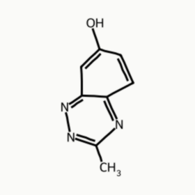 Cc1nnc2cc(O)ccc2n1